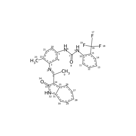 C/C(=N\c1cc(NC(=O)Nc2ccccc2C(F)(F)F)ccc1C)c1c2cccccc-2[nH]c1=O